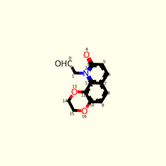 O=CCn1c(=O)ccc2ccc3c(c21)OCCO3